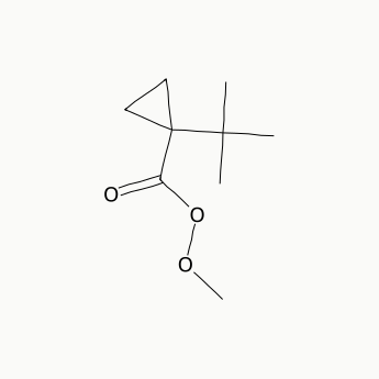 COOC(=O)C1(C(C)(C)C)CC1